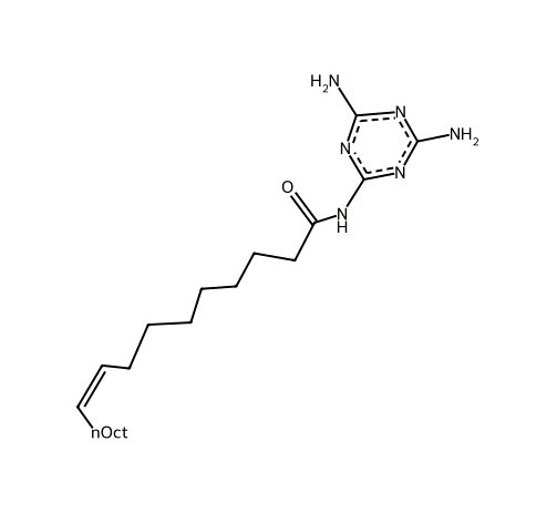 CCCCCCCC/C=C\CCCCCCCC(=O)Nc1nc(N)nc(N)n1